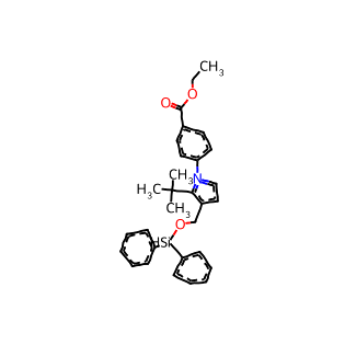 CCOC(=O)c1ccc(-n2ccc(CO[SiH](c3ccccc3)c3ccccc3)c2C(C)(C)C)cc1